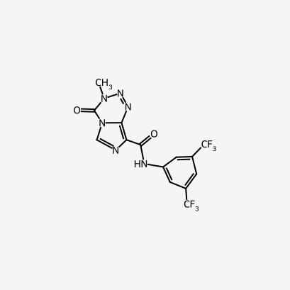 Cn1nnc2c(C(=O)Nc3cc(C(F)(F)F)cc(C(F)(F)F)c3)ncn2c1=O